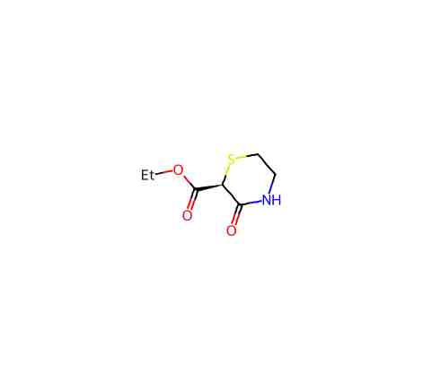 CCOC(=O)[C@H]1SCCNC1=O